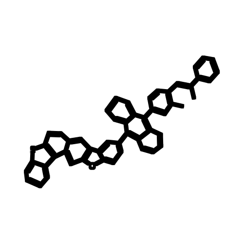 C/C(=C\c1ccc(-c2c3ccccc3c(-c3ccc4oc5cc6c(ccc7sc8ccccc8c76)cc5c4c3)c3ccccc23)cc1C)c1ccccc1